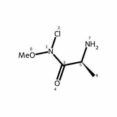 CON(Cl)C(=O)[C@H](C)N